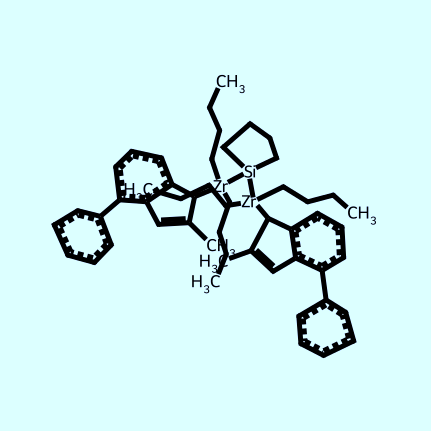 CCC[CH2][Zr]([CH2]CCC)([CH]1C(C)=Cc2c(-c3ccccc3)cccc21)[Si]1([Zr]([CH2]CCC)([CH2]CCC)[CH]2C(C)=Cc3c(-c4ccccc4)cccc32)CCCC1